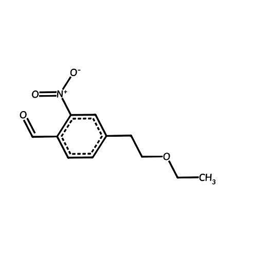 CCOCCc1ccc(C=O)c([N+](=O)[O-])c1